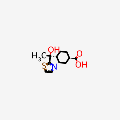 CC(O)(c1nccs1)[C@H]1CC[C@H](C(=O)O)CC1